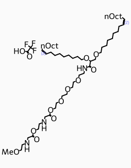 CCCCCCCC/C=C\CCCCCCCCOCC(OCCCCCCCC/C=C\CCCCCCCC)C(=O)NCCOCCOCCOCCOC(=O)CNCCOC(=O)CNCCOC.O=C(O)C(F)(F)F